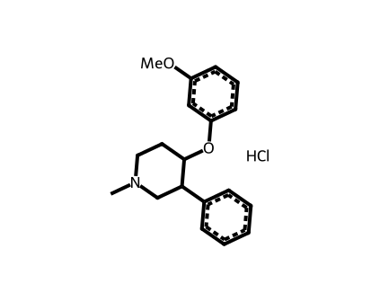 COc1cccc(OC2CCN(C)CC2c2ccccc2)c1.Cl